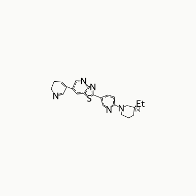 CC[C@H]1CCCN(c2ccc(-c3nc4ncc(C5=CCCN=C5)cc4s3)cn2)C1